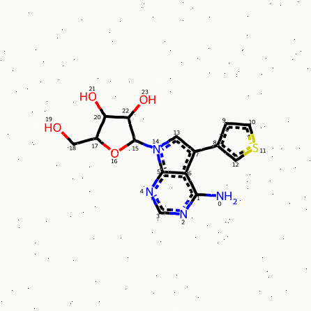 Nc1ncnc2c1c(-c1ccsc1)cn2C1OC(CO)C(O)C1O